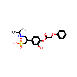 CC(C)NCC(CS(=O)(=O)O)c1ccc(OC(=O)COc2ccccc2)c(O)c1